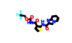 O=C(NC(=O)c1ccsc1NC(=O)c1cn2ccccc2n1)OCC(F)(F)F